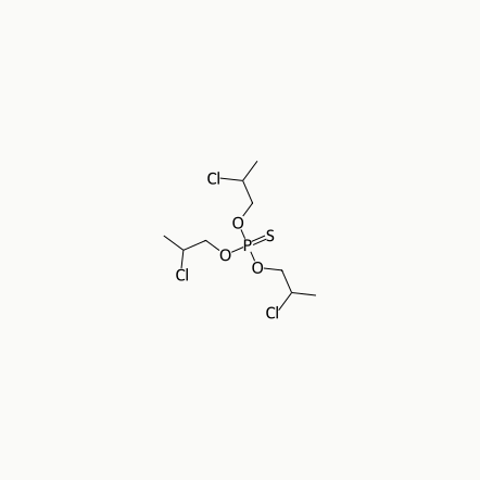 CC(Cl)COP(=S)(OCC(C)Cl)OCC(C)Cl